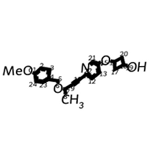 COc1ccc(COC(C)C#Cc2ccc(OC3CC(O)C3)cn2)cc1